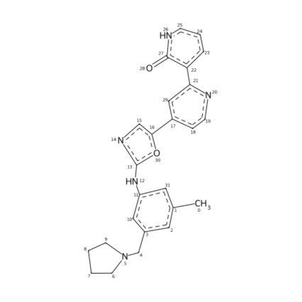 Cc1cc(CN2CCCC2)cc(Nc2ncc(-c3ccnc(-c4ccc[nH]c4=O)c3)o2)c1